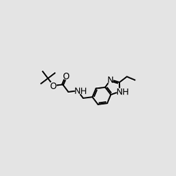 CCc1nc2cc(CNCC(=O)OC(C)(C)C)ccc2[nH]1